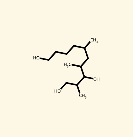 CC(CCCCO)CC(C)C(O)C(C)CO